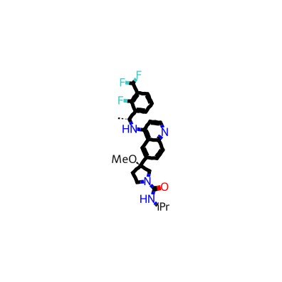 CO[C@@]1(c2ccc3nccc(N[C@H](C)c4cccc(C(F)F)c4F)c3c2)CCN(C(=O)NC(C)C)C1